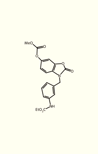 CCOC(=O)Nc1cccc(Cn2c(=O)oc3cc(OC(=O)OC)ccc32)c1